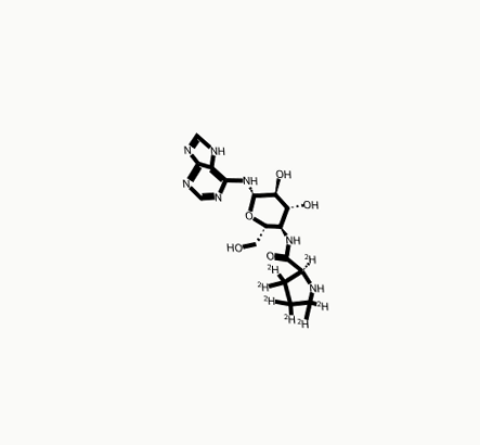 [2H]C1([2H])N[C@]([2H])(C(=O)N[C@@H]2[C@@H](O)[C@H](O)[C@@H](Nc3ncnc4nc[nH]c34)O[C@H]2CO)C([2H])([2H])C1([2H])[2H]